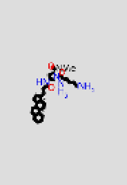 CNC(=O)[C@@H]1C[C@H](NC(=O)CCC2CCC3C4CCC5CCCC[C@]5(C)C4CC[C@]23C)CN1C(=O)C(N)CCCCN